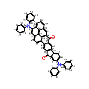 O=C1c2cc(N(c3ccccc3)c3ccccc3)ccc2-c2cc3c(cc21)-c1ccc2cc(N(c4ccccc4)c4ccccc4)c4cccc5cc(c1c2c54)C3=O